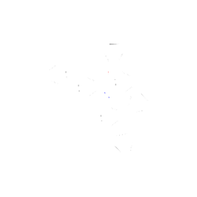 CC1(c2ccccc2)c2ccccc2-c2c(N(c3ccc(-c4ccccc4)cc3)c3cccc4c3oc3ccccc34)cccc21